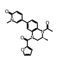 CC(=O)N1c2ccc(-c3ccc(=O)n(C)c3)cc2N(C(=O)c2ccco2)C[C@@H]1C